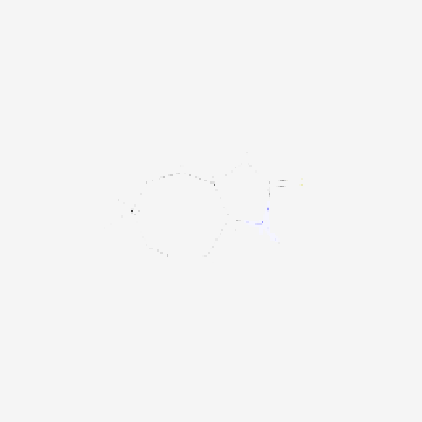 CN1C(=S)CC2CCC(C)(C)CCCC21